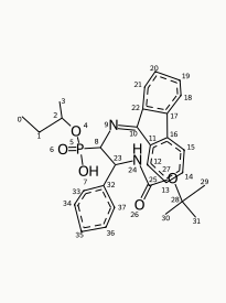 CCC(C)OP(=O)(O)C(N=C1c2ccccc2-c2ccccc21)C(NC(=O)OC(C)(C)C)c1ccccc1